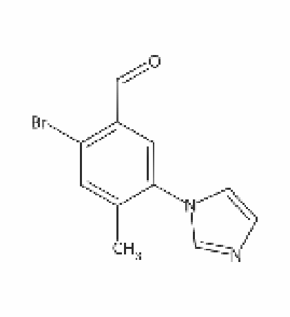 Cc1cc(Br)c(C=O)cc1-n1ccnc1